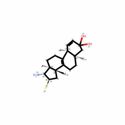 C[C@]12CCC3=C(CC[C@@H]4CC(O)(O)C=C[C@]34C)[C@@H]1C[C@@H](F)[C@@H]2N